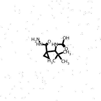 CC(C)(C)C(NC(=O)O)C1(C(=O)NN)CC1